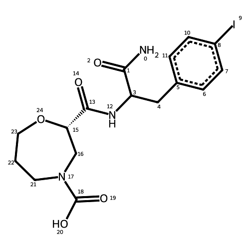 NC(=O)C(Cc1ccc(I)cc1)NC(=O)[C@@H]1CN(C(=O)O)CCCO1